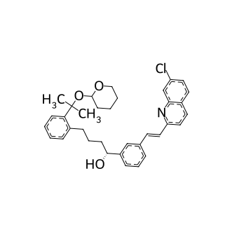 CC(C)(OC1CCCCO1)c1ccccc1CCC[C@@H](O)c1cccc(C=Cc2ccc3ccc(Cl)cc3n2)c1